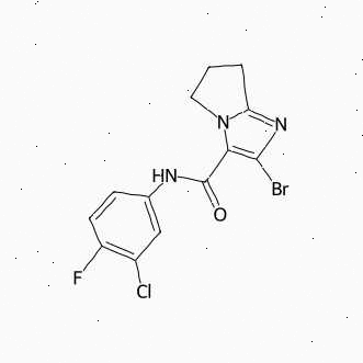 O=C(Nc1ccc(F)c(Cl)c1)c1c(Br)nc2n1CCC2